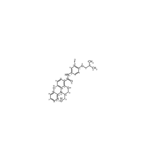 CC(C)COc1ccc(NC(=O)c2cccc3c2OCC(CO)N3c2ncccc2Cl)cc1F